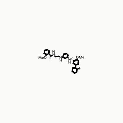 COc1ccc(-c2ccccc2F)cc1SNc1cccc(NCCNC(=O)c2ccccc2OC)c1